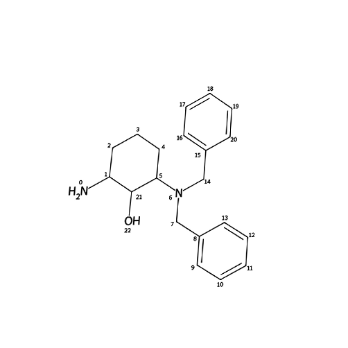 NC1CCCC(N(Cc2ccccc2)Cc2ccccc2)C1O